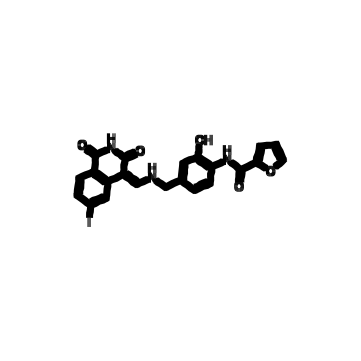 O=C1NC(=O)c2ccc(I)cc2C1=CNCc1ccc(NC(=O)c2ccco2)c(O)c1